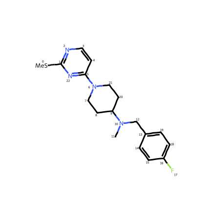 CSc1nccc(N2CCC(N(C)Cc3ccc(F)cc3)CC2)n1